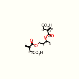 C=C(CC(=O)O)C(=O)OCCC(C)OC(=O)C(=C)CC(=O)O